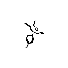 C=CC[Si](CC=C)(OCC)c1ccc(Br)cc1